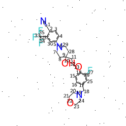 N#Cc1ccc(N2CCC(O)(CCOc3ccc(CN4CCOCC4)cc3F)CC2)cc1C(F)(F)F